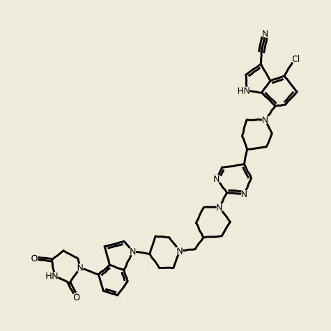 N#Cc1c[nH]c2c(N3CCC(c4cnc(N5CCC(CN6CCC(n7ccc8c(N9CCC(=O)NC9=O)cccc87)CC6)CC5)nc4)CC3)ccc(Cl)c12